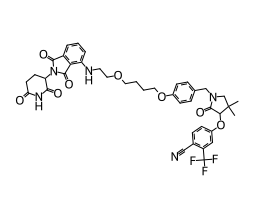 CC1(C)CN(Cc2ccc(OCCCCOCCNc3cccc4c3C(=O)N(C3CCC(=O)NC3=O)C4=O)cc2)C(=O)C1Oc1ccc(C#N)c(C(F)(F)F)c1